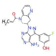 C=CC(=O)N1CC(n2nc(-c3cc(O)cc(F)c3)c3c(N)ncnc32)Cc2ncccc21